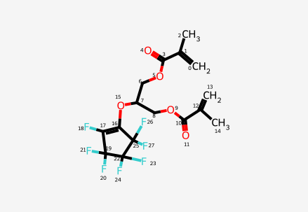 C=C(C)C(=O)OCC(COC(=O)C(=C)C)OC1=C(F)C(F)(F)C(F)(F)C1(F)F